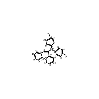 Cc1ccc(N(c2ccc(C)cc2)c2cc3ccccc3c3ccccc23)cc1